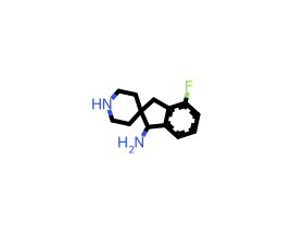 NC1c2cccc(F)c2CC12CCNCC2